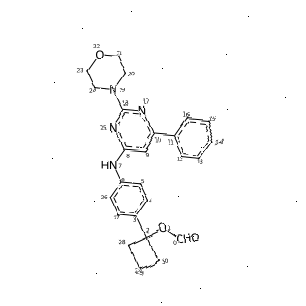 O=COC1(c2ccc(Nc3cc(-c4ccccc4)nc(N4CCOCC4)n3)cc2)CCC1